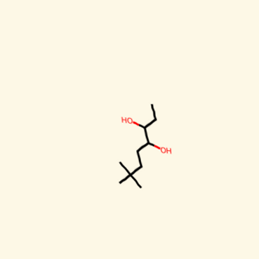 CCC(O)C(O)CCC(C)(C)C